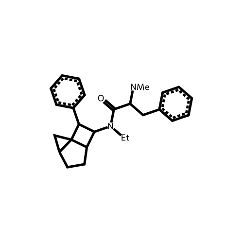 CCN(C(=O)C(Cc1ccccc1)NC)C1C2CCC3CC32C1c1ccccc1